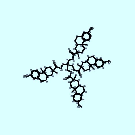 CC(C)c1ccc2c(c1)CCC1CC(C)(C(=O)OCC(COC(=O)C3(C)CCC4(C)c5ccc(C(C)C)cc5CCC4C3)(COC(=O)C3(C)CCC4(C)c5ccc(C(C)C)cc5CCC4C3)COC(=O)C3(C)CCC4(C)c5ccc(C(C)C)cc5CCC4C3)CCC21C